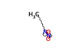 CCCCCCCCCCCCN1CCCCC(N2CCCC2=O)C1=O